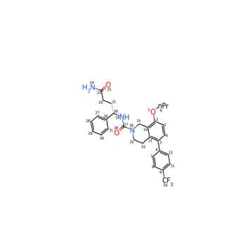 CCCOc1ccc(-c2ccc(C(F)(F)F)cc2)c2c1CN(C(=O)N[C@@H](CCC(N)=O)c1ccccc1)CC2